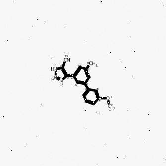 Cc1cc(-c2cccc(OC(F)(F)F)c2)cc(-c2nn[nH]c2C#N)c1